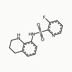 O=S(=O)(Nc1cccc2c1NCCC2)c1ncccc1F